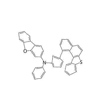 c1ccc(N(c2cccc(-c3cccc4ccc5sc6ccccc6c5c34)c2)c2ccc3c(c2)oc2ccccc23)cc1